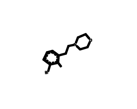 Cc1c(Br)cccc1CCN1CCOCC1